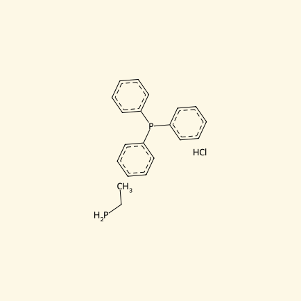 CCP.Cl.c1ccc(P(c2ccccc2)c2ccccc2)cc1